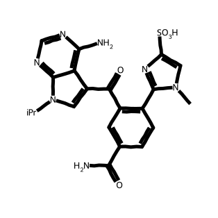 CC(C)n1cc(C(=O)c2cc(C(N)=O)ccc2-c2nc(S(=O)(=O)O)cn2C)c2c(N)ncnc21